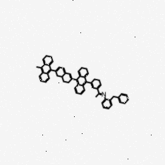 C/C(=N\c1ccccc1CC1=CCCC=C1)C1=CCCC(c2c3c(c(C4=CC5=CC=C(c6c7c(c(C)c8ccccc68)=CCCC=7)CC5CC4)c4ccccc24)=CCCC=3)=C1